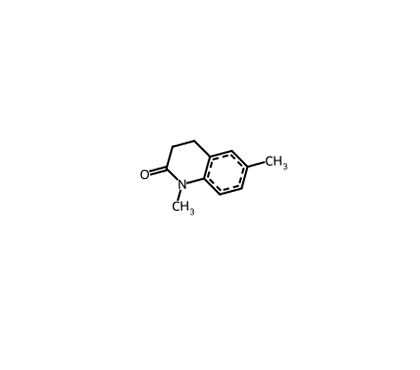 Cc1ccc2c(c1)CCC(=O)N2C